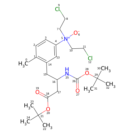 Cc1ccc([N+]([O-])(CCCl)CCCl)cc1CC(CC(=O)OC(C)(C)C)NC(=O)OC(C)(C)C